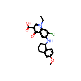 CCn1cc(C(=O)O)c(=O)c2cc(NC3CCCc4cc(OC)ccc43)c(Cl)cc21